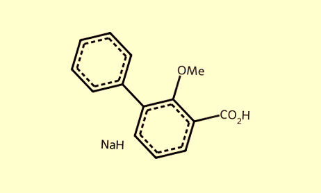 COc1c(C(=O)O)cccc1-c1ccccc1.[NaH]